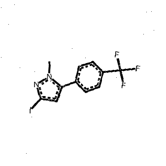 Cn1nc(I)cc1-c1ccc(C(F)(F)F)cc1